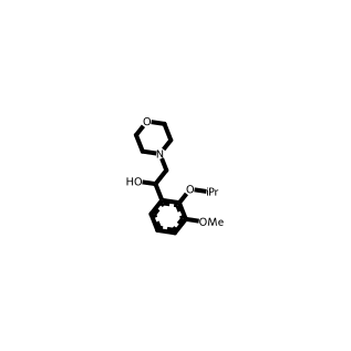 COc1cccc(C(O)CN2CCOCC2)c1OC(C)C